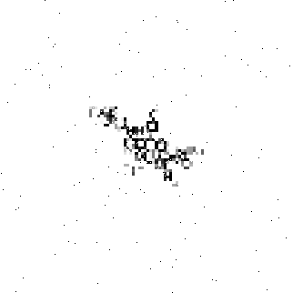 CC(C)(C)OC(=O)CCC(C)(C)OCCC(C)(C)Oc1cc(C(c2ccc(Cl)cc2)c2ccc(Cl)cc2)cc2c(NC3CCN(S(=O)(=O)C(F)(F)F)CC3)ccnc12